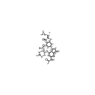 CC(=O)Nc1nc(OC2CCN(C)CC2)c2c(-c3cc4c(c(OC(F)F)c3)C(=O)N([C@@H](C)C3CC3)C4)c[nH]c2n1